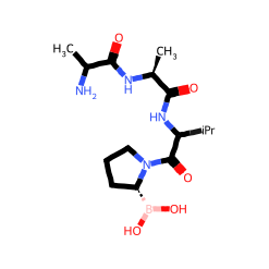 CC(N)C(=O)N[C@@H](C)C(=O)NC(C(=O)N1CCC[C@H]1B(O)O)C(C)C